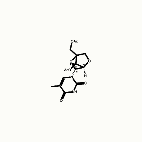 CC(=O)OCC12CO[C@@H]([C@H](n3cc(C)c(=O)[nH]c3=O)O1)[C@@H]2OC(C)=O